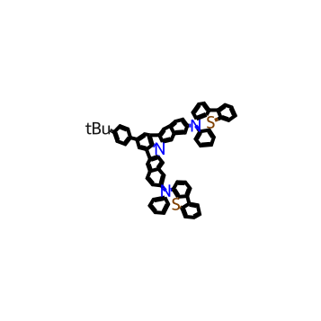 CC(C)(C)c1ccc(-c2cc3c4cc5ccc(N(c6ccccc6)c6cccc7c6sc6ccccc67)cc5cc4n4c5cc6cc(N(c7ccccc7)c7cccc8c7sc7ccccc78)ccc6cc5c(c2)c34)cc1